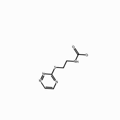 [O]C(=O)NCCSc1nccnn1